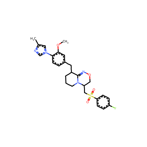 COc1cc(CC2CCCN3C2=NOCC3CS(=O)(=O)c2ccc(F)cc2)ccc1-n1cnc(C)c1